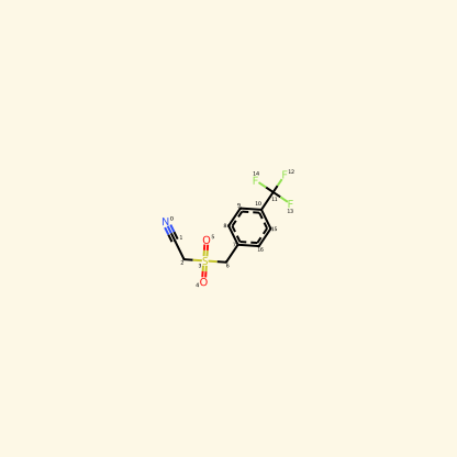 N#CCS(=O)(=O)Cc1ccc(C(F)(F)F)cc1